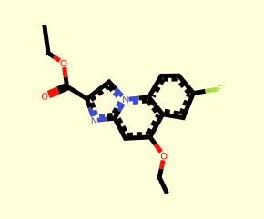 CCOC(=O)c1cn2c(cc(OCC)c3cc(F)ccc32)n1